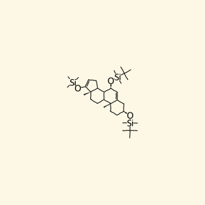 CC(C)(C)[Si](C)(C)O[C@H]1CC[C@@]2(C)C(=C[C@H](O[Si](C)(C)C(C)(C)C)C3C2CC[C@]2(C)C(O[Si](C)(C)C)=CCC32)C1